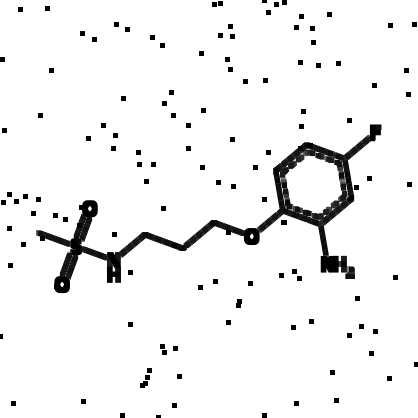 CS(=O)(=O)NCCCOc1ccc(F)cc1N